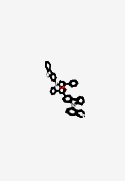 c1ccc(-c2ccc(N(c3ccc4c(c3)oc3ccccc34)c3ccccc3-c3cccc(-c4ccc5c(c4)c4ccccc4n5-c4cccc5cnccc45)c3)cc2)cc1